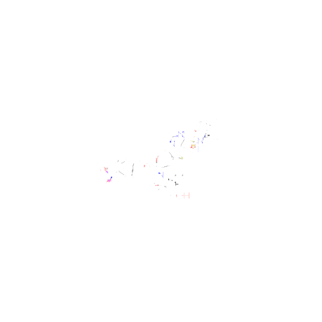 C[C@@H](O)[C@H]1C(=O)N2C(C(=O)OCc3ccc([N+](=O)[O-])cc3)=C(c3cn4cnc(S(=O)(=O)N[Si](C)(C)C(C)(C)C)c4s3)[C@H](C)[C@H]12